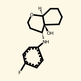 O[C@]12CCCC[C@@H]1OCC[C@H]2Nc1ccc(F)cc1